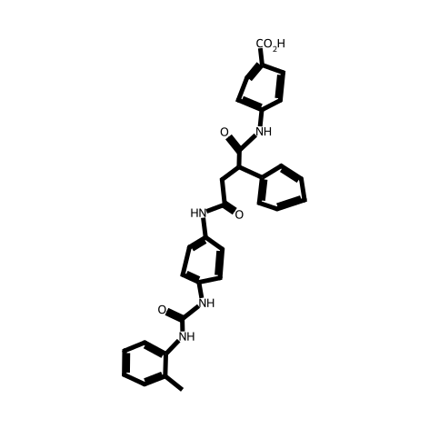 Cc1ccccc1NC(=O)Nc1ccc(NC(=O)CC(C(=O)Nc2ccc(C(=O)O)cc2)c2ccccc2)cc1